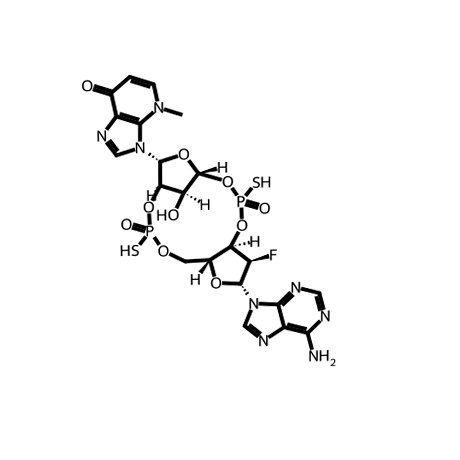 Cn1ccc(=O)c2ncn([C@@H]3O[C@@H]4OP(=O)(S)O[C@H]5[C@@H](F)[C@H](n6cnc7c(N)ncnc76)O[C@@H]5COP(=O)(S)O[C@@H]3[C@@H]4O)c21